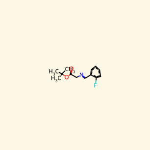 CC(C)(C)OC(=O)CN=Cc1ccccc1F